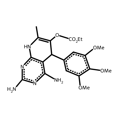 CCOC(=O)OC1=C(C)Nc2nc(N)nc(N)c2C1c1cc(OC)c(OC)c(OC)c1